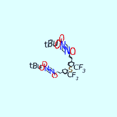 CC(C)(C)OC(=O)N1CCN(C(=O)C=Cc2ccc(Sc3ccc(C=CC(=O)N4CCN(C(=O)OC(C)(C)C)CC4)cc3C(F)(F)F)c(C(F)(F)F)c2)CC1